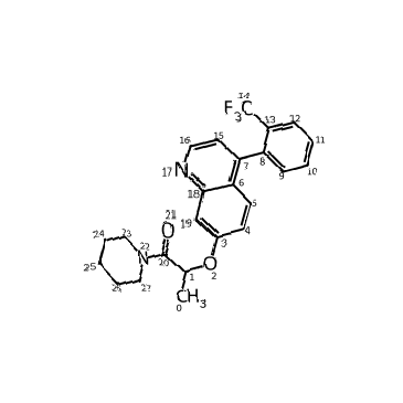 CC(Oc1ccc2c(-c3ccccc3C(F)(F)F)ccnc2c1)C(=O)N1CCCCC1